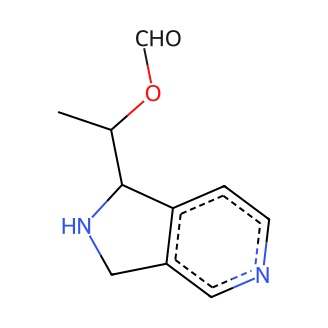 CC(OC=O)C1NCc2cnccc21